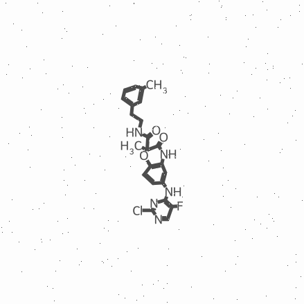 Cc1cccc(CCNC(=O)C2(C)Oc3ccc(Nc4nc(Cl)ncc4F)cc3NC2=O)c1